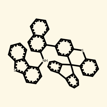 c1ccc2c(c1)Sc1ccc(-c3c(Nc4cccc5sc6ccccc6c45)ccc4ccccc34)cc1C21c2ccccc2-c2ccccc21